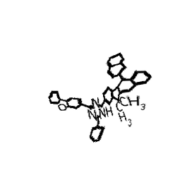 CC1(C)C2=Cc3ccccc3C(c3ccc4ccccc4c3)C2c2ccc(C3N=C(c4ccc5c(c4)oc4ccccc45)N=C(c4ccccc4)N3)cc21